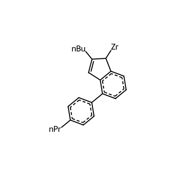 CCCCC1=Cc2c(-c3ccc(CCC)cc3)cccc2[CH]1[Zr]